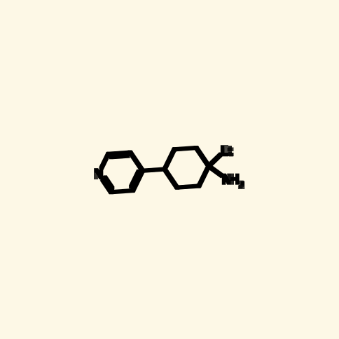 CCC1(N)CCC(c2ccncc2)CC1